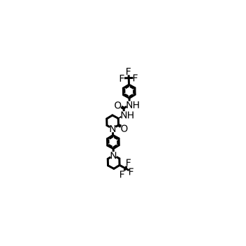 O=C(Nc1ccc(C(F)(F)F)cc1)N[C@@H]1CCCN(c2ccc(N3CCCC(C(F)(F)F)C3)cc2)C1=O